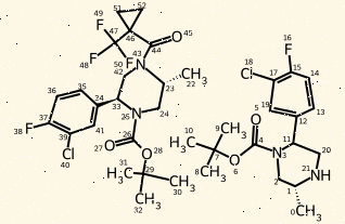 C[C@@H]1CN(C(=O)OC(C)(C)C)C(c2ccc(F)c(Cl)c2)CN1.C[C@@H]1CN(C(=O)OC(C)(C)C)[C@@H](c2ccc(F)c(Cl)c2)CN1C(=O)C1(C(F)(F)F)CC1